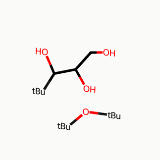 CC(C)(C)C(O)C(O)CO.CC(C)(C)OC(C)(C)C